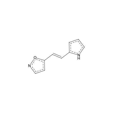 C(=Cc1ccno1)c1ccc[nH]1